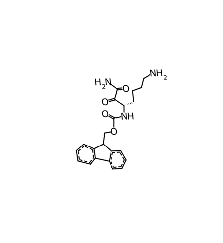 NCCCC[C@H](NC(=O)OCC1c2ccccc2-c2ccccc21)C(=O)C(N)=O